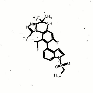 CCS(=O)(=O)n1ccc2c(-c3c(F)cc4c(c3C(F)F)-n3c(C)nnc3C(C)(C)N4)cccc21